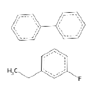 CCc1cccc(F)c1.c1ccc(-c2ccccc2)cc1